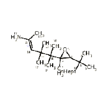 CCCCCCCC(C)(C)C1OC1(C)C(C)(C)C(C)(C)/C=C(\C)N